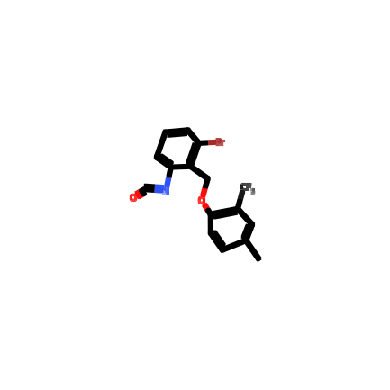 Cc1ccc(OCc2c(Br)cccc2N=C=O)c(C(F)(F)F)c1